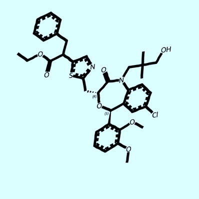 CCOC(=O)C(Cc1ccccc1)c1cnc(C[C@H]2O[C@H](c3cccc(OC)c3OC)c3cc(Cl)ccc3N(CC(C)(C)CO)C2=O)s1